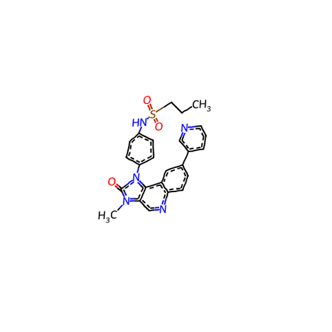 CCCS(=O)(=O)Nc1ccc(-n2c(=O)n(C)c3cnc4ccc(-c5cccnc5)cc4c32)cc1